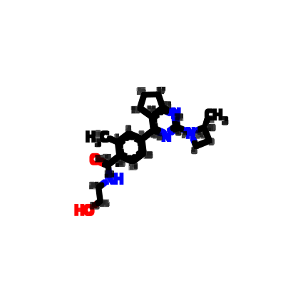 Cc1cc(-c2nc(N3CC[C@@H]3C)nc3c2CCC3)ccc1C(=O)NCCO